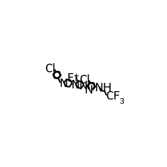 CC[C@H]1CN(c2ncc(NCCCC(F)(F)F)cc2Cl)CCN1C1CCN(Cc2ccc(Cl)cc2)CC1